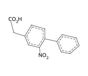 O=C(O)Cc1ccc(-c2ccccc2)c([N+](=O)[O-])c1